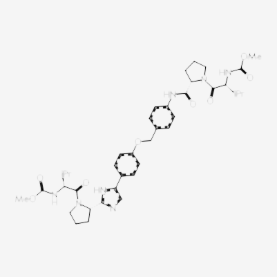 COC(=O)N[C@H](C(=O)N1CCC[C@H]1C(=O)Nc1ccc(COc2ccc(-c3cnc([C@@H]4CCCN4C(=O)[C@@H](NC(=O)OC)C(C)C)[nH]3)cc2)cc1)C(C)C